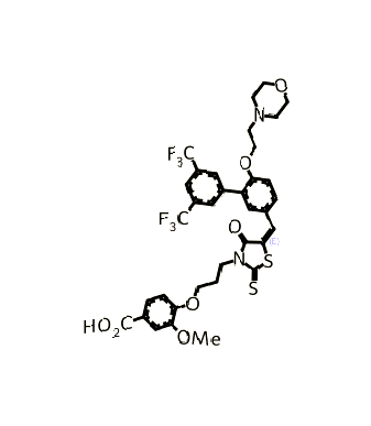 COc1cc(C(=O)O)ccc1OCCCN1C(=O)/C(=C\c2ccc(OCCN3CCOCC3)c(-c3cc(C(F)(F)F)cc(C(F)(F)F)c3)c2)SC1=S